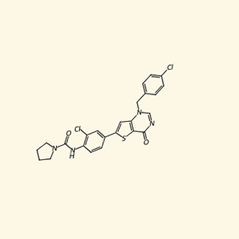 O=C(Nc1ccc(-c2cc3c(s2)c(=O)ncn3Cc2ccc(Cl)cc2)cc1Cl)N1CCCC1